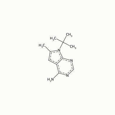 Cc1cc2c(N)ncnc2n1C(C)(C)C